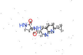 O=C(N[C@H]1CCNC1=O)c1cnc2nc(C3CC3)ccc2c1